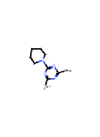 COc1nc(OC)nc(N2CCCCC2)n1